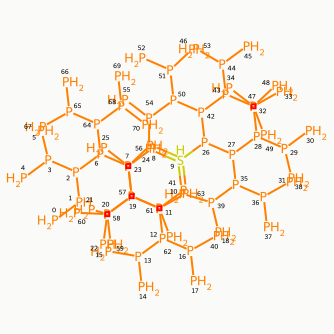 PPP(P(P)P)P(P(/P=[SH](=P\P(P(P(P)P)P(P)P)P(P(P)P)P(P)P)/P(P(P(P(P)P)P(P)P)P(P(P)P)P(P)P)P(P(P(P)P)P(P)P)P(P(P)P)P(P)P)P(P(P)P)P(P)P)P(P(P)P)P(P)P